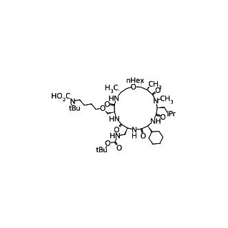 CCCCCC[C@H]1OC[C@@H](C)NC(=O)[C@H](COCCCCN(C(=O)O)C(C)(C)C)NC(=O)[C@H](CNC(=O)OC(C)(C)C)NC(=O)[C@H](C2CCCCC2)NC(=O)[C@H](CC(C)C)N(C)C(=O)[C@@H]1C